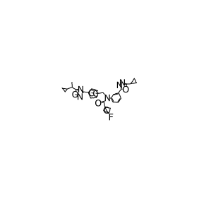 CC(c1nc(C23CCC(CN(C(=O)C45CC(F)(C4)C5)c4cccc(-c5nnc(C6CC6)o5)c4)(CC2)CC3)no1)C1CC1